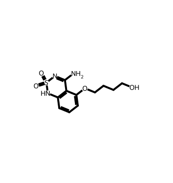 NC1=NS(=O)(=O)Nc2cccc(OCCCCO)c21